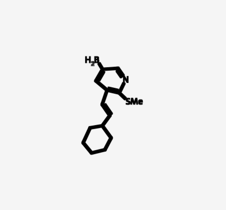 Bc1cnc(SC)c(/C=C/C2CCCCC2)c1